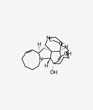 OC1=C[C@@]2(O)CC/C=C/CCCCN3CC[C@@H]1[C@]1(C[C@@H]4/C=C\CCCCN4[C@H]12)C3